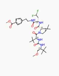 COC[C@@H](NC(=O)N[C@H](C(=O)N1CC2C([C@H]1C(=O)N[C@@H](CC(F)F)C(=O)NCCc1ccc(C(=O)OC)cc1)C2(C)C)C(C)(C)C)C(C)(C)C